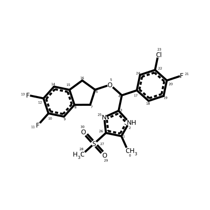 Cc1[nH]c(C(OC2Cc3cc(F)c(F)cc3C2)c2ccc(F)c(Cl)c2)nc1S(C)(=O)=O